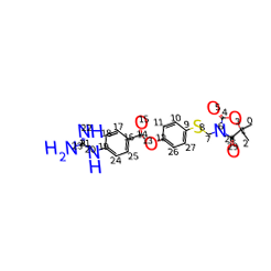 CC1(C)OC(=O)N(CSc2ccc(OC(=O)c3ccc(NC(=N)N)cc3)cc2)C1=O